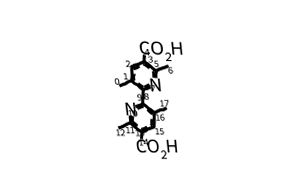 Cc1cc(C(=O)O)c(C)nc1-c1nc(C)c(C(=O)O)cc1C